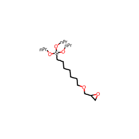 CCCO[Si](CCCCCCCOCC1CO1)(OCCC)OCCC